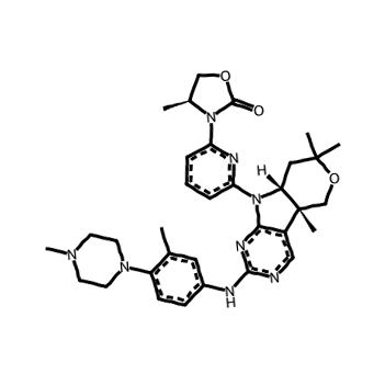 Cc1cc(Nc2ncc3c(n2)N(c2cccc(N4C(=O)OC[C@@H]4C)n2)[C@@H]2CC(C)(C)OC[C@]32C)ccc1N1CCN(C)CC1